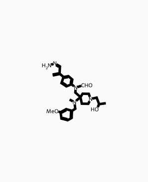 C=C(/C=N\N)c1ccc(N(C=O)CC2(N(C)Cc3cccc(OC)c3)CCN(CC(C)O)CC2)cc1